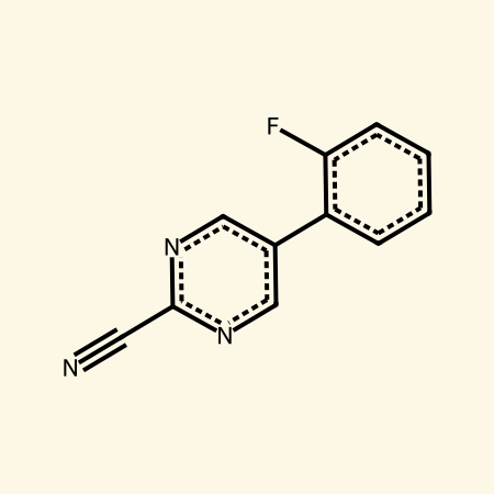 N#Cc1ncc(-c2ccccc2F)cn1